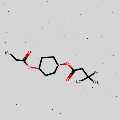 CCC(C)(C)CC(=O)O[C@H]1CC[C@@H](OC(=O)CC(C)(C)C)CC1